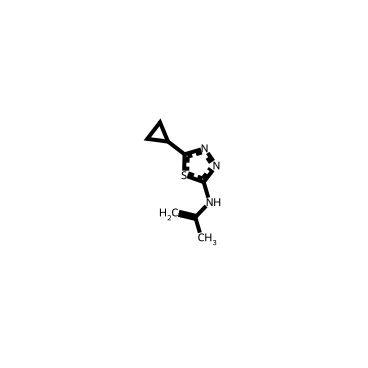 C=C(C)Nc1nnc(C2CC2)s1